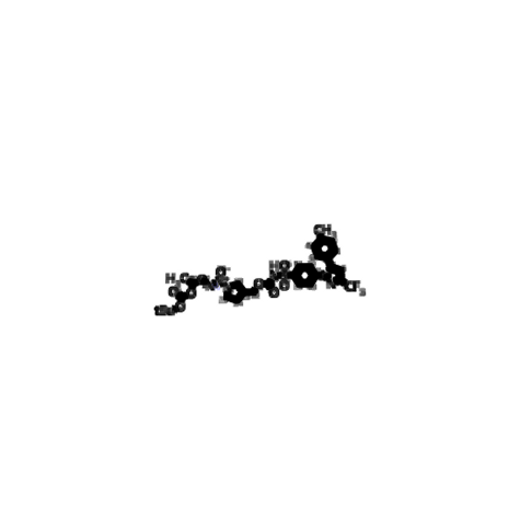 Cc1ccc(-c2cc(C(F)(F)F)nn2-c2ccc(S(=O)(=O)NC(=O)OCC3CCN(/[N+]([O-])=N/OC(C)OC(=O)OC(C)(C)C)C3)cc2)cc1